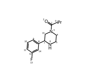 CC(C)C(=O)N1CCNC(c2cccc(F)c2)C1